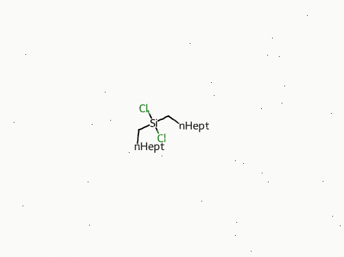 CCCCCCCC[Si](Cl)(Cl)CCCCCCCC